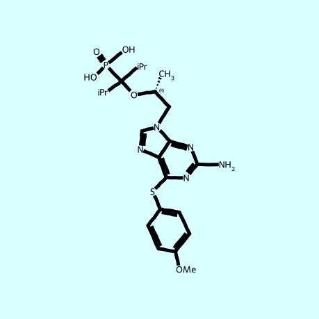 COc1ccc(Sc2nc(N)nc3c2ncn3C[C@@H](C)OC(C(C)C)(C(C)C)P(=O)(O)O)cc1